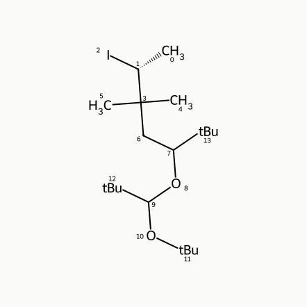 C[C@@H](I)C(C)(C)CC(OC(OC(C)(C)C)C(C)(C)C)C(C)(C)C